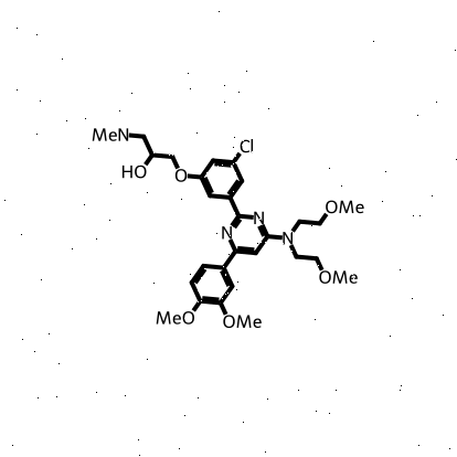 CNCC(O)COc1cc(Cl)cc(-c2nc(-c3ccc(OC)c(OC)c3)cc(N(CCOC)CCOC)n2)c1